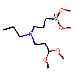 CCCN(CCC[SiH](OC)OC)CCC(OC)OC